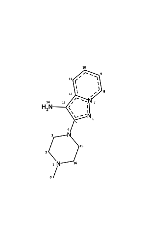 CN1CCN(c2nn3ccccc3c2N)CC1